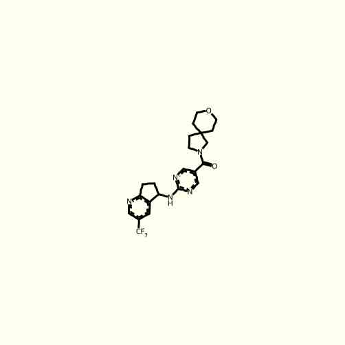 O=C(c1cnc(NC2CCc3ncc(C(F)(F)F)cc32)nc1)N1CCC2(CCOCC2)C1